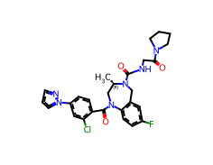 C[C@@H]1CN(C(=O)c2ccc(-n3cccn3)cc2Cl)c2ccc(F)cc2CN1C(=O)NCC(=O)N1CCCC1